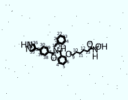 [2H]C(c1ccccc1OCCCCCC(=O)NO)N(Cc1ccccc1)C(=O)c1ccc(-c2cn[nH]c2)cc1